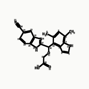 Cc1cc(C)c2[nH]ccc2c1C(OCC(=O)O)c1nc2cc(C#N)ccc2[nH]1